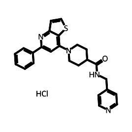 Cl.O=C(NCc1ccncc1)C1CCN(c2cc(-c3ccccc3)nc3ccsc23)CC1